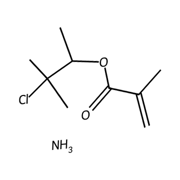 C=C(C)C(=O)OC(C)C(C)(C)Cl.N